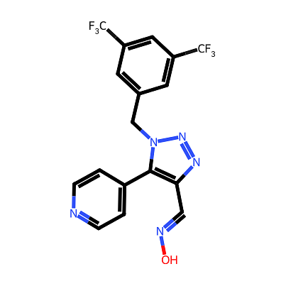 ON=Cc1nnn(Cc2cc(C(F)(F)F)cc(C(F)(F)F)c2)c1-c1ccncc1